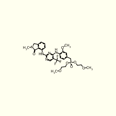 COCCOP(=O)(Cc1ccc(Nc2nc(Nc3cccc4c3C(=O)N(C)C4)ncc2C(F)(F)F)c(OC)c1)OCCOC